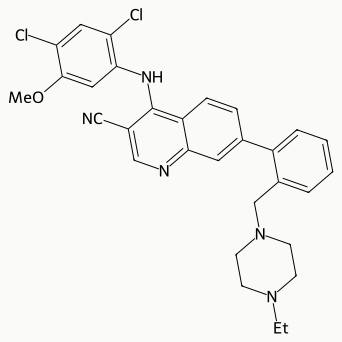 CCN1CCN(Cc2ccccc2-c2ccc3c(Nc4cc(OC)c(Cl)cc4Cl)c(C#N)cnc3c2)CC1